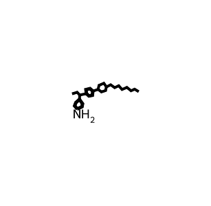 CCCCCCCCC1CCC(c2ccc(C(CC)c3ccc(N)cc3)cc2)CC1